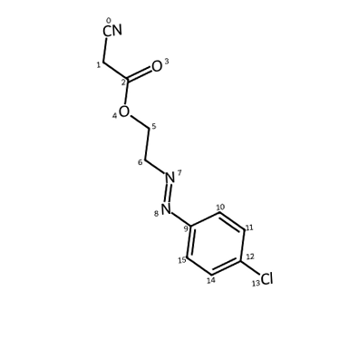 N#CCC(=O)OCCN=Nc1ccc(Cl)cc1